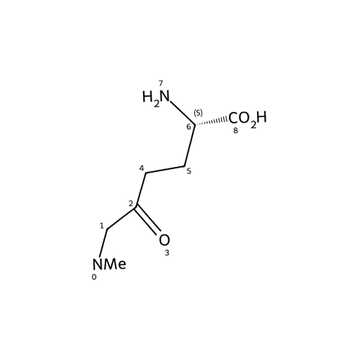 CNCC(=O)CC[C@H](N)C(=O)O